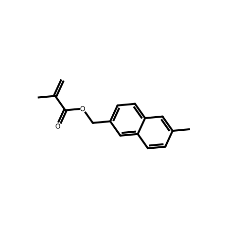 C=C(C)C(=O)OCc1ccc2cc(C)ccc2c1